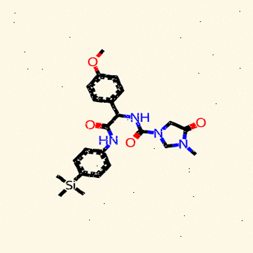 COc1ccc(C(NC(=O)N2CC(=O)N(C)C2)C(=O)Nc2ccc([Si](C)(C)C)cc2)cc1